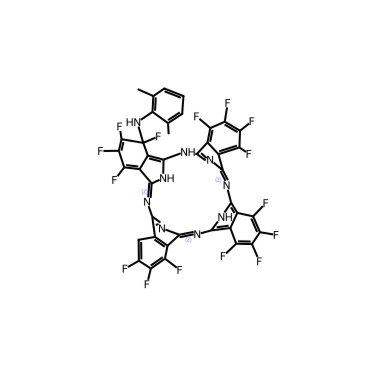 Cc1cccc(C)c1NC1(F)C(F)=C(F)C(F)=c2c1c1[nH]/c2=N\C2=NC(=N\c3[nH]c(c4c(F)c(F)c(F)c(F)c34)/N=C3\N=C(N1)c1c(F)c(F)c(F)c(F)c13)/c1c2cc(F)c(F)c1F